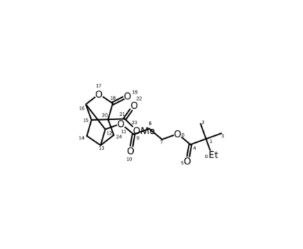 CCC(C)(C)C(=O)OCCC(=O)OC1C2CC3C1OC(=O)C3(C(=O)OC)C2